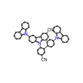 N#Cc1ccc(-n2c3ccc(C#N)cc3c3cc(-n4c5ccccc5c5ccccc54)ccc32)c(-c2ccc(-n3c4ccccc4c4ccccc43)cc2)c1